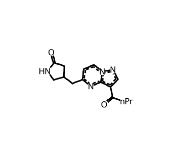 CCCC(=O)c1cnn2ccc(CC3CNC(=O)C3)nc12